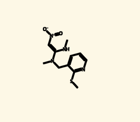 CNC(=C[N+](=O)[O-])N(C)Cc1cccnc1SC